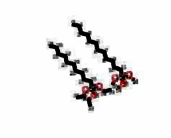 CCCCCCCCCCCC[Si](OC)(OC)OC.CCCCCCCCCC[Si](OCC)(OCC)OCC